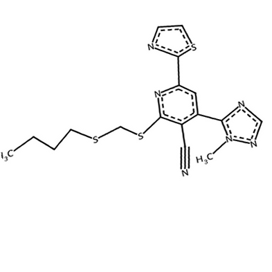 CCCCSCSc1nc(-c2nccs2)cc(-c2ncnn2C)c1C#N